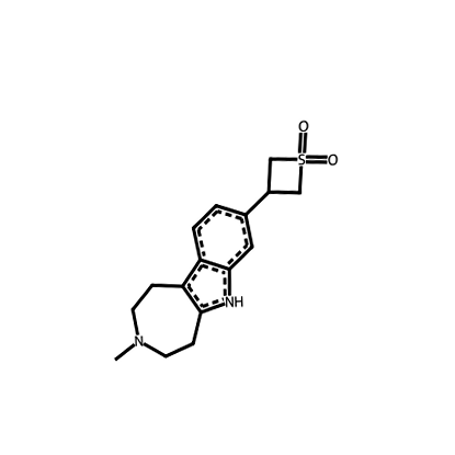 CN1CCc2[nH]c3cc(C4CS(=O)(=O)C4)ccc3c2CC1